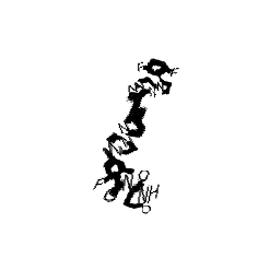 O=C1CCC(N2Cc3cc(CN4CCN(c5cccc(-c6cnn7ccc(N8CCC[C@@H]8c8cc(F)ccc8F)nc67)n5)CC4)cc(F)c3C2=O)C(=O)N1